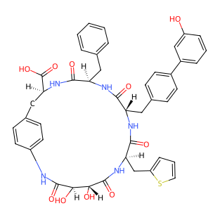 O=C(O)[C@@H]1Cc2ccc(cc2)NC(=O)[C@H](O)[C@@H](O)C(=O)N[C@H](Cc2cccs2)C(=O)N[C@@H](Cc2ccc(-c3cccc(O)c3)cc2)C(=O)N[C@H](Cc2ccccc2)C(=O)N1